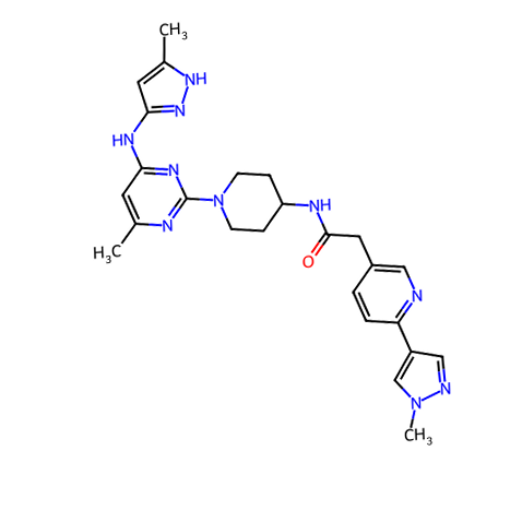 Cc1cc(Nc2cc(C)[nH]n2)nc(N2CCC(NC(=O)Cc3ccc(-c4cnn(C)c4)nc3)CC2)n1